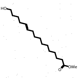 COC(=O)CCCCCCCCC/C=C/CCCCO